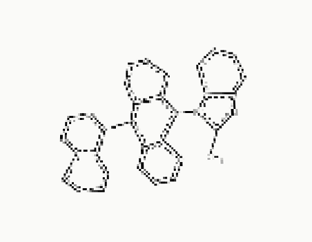 Cc1nc2ccccc2n1-c1c2ccccc2c(-c2cccc3ccccc23)c2ccccc12